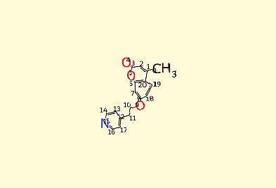 Cc1cc(=O)oc2cc(OCCc3ccncc3)ccc12